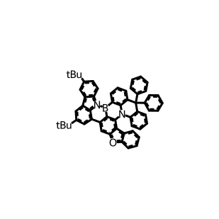 CC(C)(C)c1ccc2c(c1)c1cc(C(C)(C)C)cc3c1n2B1c2cccc4c2N(c2ccccc2C4(c2ccccc2)c2ccccc2)c2c1c-3cc1oc3ccccc3c21